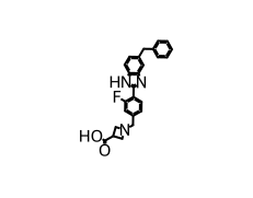 O=C(O)C1CN(Cc2ccc(-c3nc4cc(Cc5ccccc5)ccc4[nH]3)c(F)c2)C1